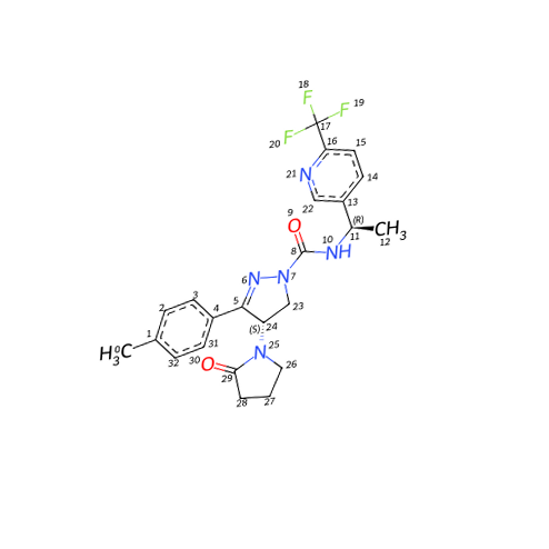 Cc1ccc(C2=NN(C(=O)N[C@H](C)c3ccc(C(F)(F)F)nc3)C[C@@H]2N2CCCC2=O)cc1